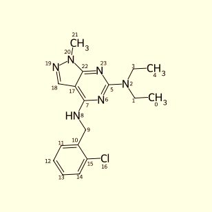 CCN(CC)c1nc(NCc2ccccc2Cl)c2cnn(C)c2n1